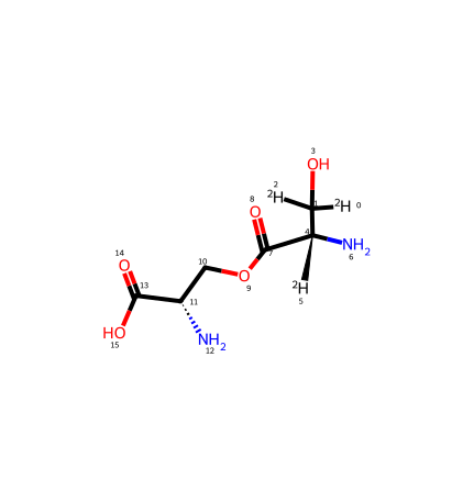 [2H]C([2H])(O)[C@]([2H])(N)C(=O)OC[C@H](N)C(=O)O